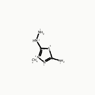 C.NNc1nnc(N)s1